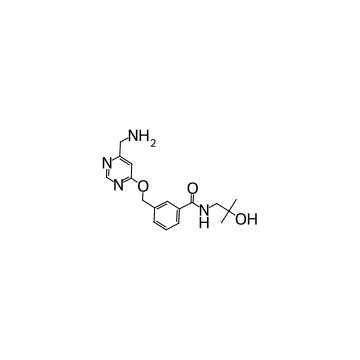 CC(C)(O)CNC(=O)c1cccc(COc2cc(CN)ncn2)c1